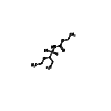 CCOC(=O)NP(=S)(S)C(CC)OCC